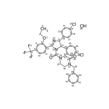 CCOc1cc(C(F)(F)F)ccc1C1=NC(c2ccc(Cl)cc2)C(c2ccc(Cl)cc2)N1C(=O)N1CCN(Cc2ccccc2)C(=O)C1.Cl